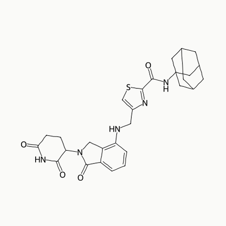 O=C1CCC(N2Cc3c(NCc4csc(C(=O)NC56CC7CC(CC(C7)C5)C6)n4)cccc3C2=O)C(=O)N1